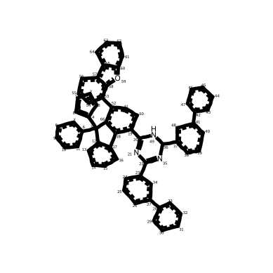 C1=CC=CC=1C1(c2ccccc2)c2ccccc2-c2c(C3=NC(c4cccc(-c5ccccc5)c4)=NC(c4cccc(-c5ccccc5)c4)N3)ccc(-c3cccc4c3oc3ccccc34)c21